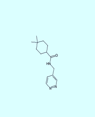 CC1(C)CCC(C(=O)NCc2ccnnc2)CC1